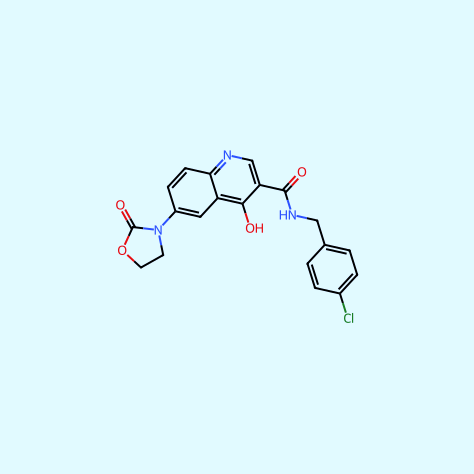 O=C(NCc1ccc(Cl)cc1)c1cnc2ccc(N3CCOC3=O)cc2c1O